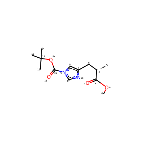 COC(=O)[C@@H](C)Cc1cn(C(=O)OC(C)(C)C)cn1